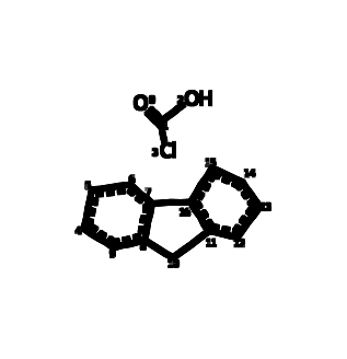 O=C(O)Cl.c1ccc2c(c1)Cc1ccccc1-2